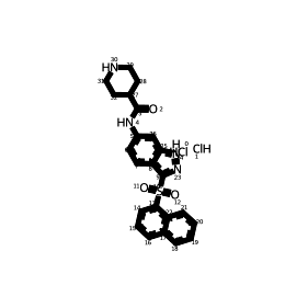 Cl.Cl.O=C(Nc1ccc2c(S(=O)(=O)c3cccc4ccccc34)n[nH]c2c1)C1CCNCC1